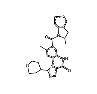 Cc1cc2c(cc1C(=O)N1c3ccccc3CC1C)[nH]c(=O)c1cnc(C3CCOCC3)n12